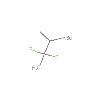 CCCCC(C)C(F)(F)C(F)(F)F